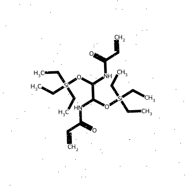 C=CC(=O)NC(O[Si](CC)(CC)CC)C(NC(=O)C=C)O[Si](CC)(CC)CC